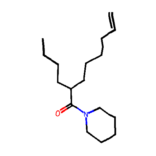 C=CCCCCC(CCCC)C(=O)N1CCCCC1